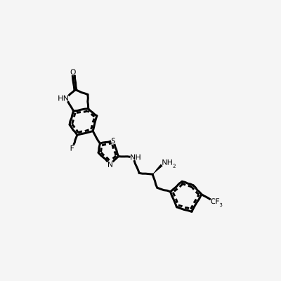 N[C@H](CNc1ncc(-c2cc3c(cc2F)NC(=O)C3)s1)Cc1ccc(C(F)(F)F)cc1